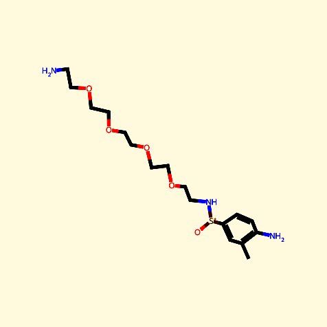 Cc1cc([S+]([O-])NCCOCCOCCOCCOCCN)ccc1N